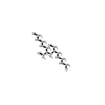 Cl[SiH2]N[SiH2]N[SiH2]N([SiH2]Cl)[SiH2]N([SiH2]Cl)[SiH2]N[SiH2]N[SiH2]Cl